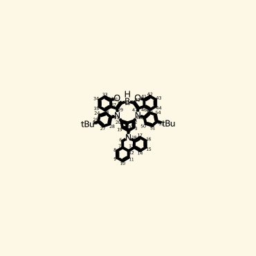 Cc1c2cc(N3CC4C=CC=CC4c4ccccc43)cc1N(c1ccc(C(C)(C)C)cc1)c1c(oc3ccccc13)Bc1oc3ccccc3c1N2c1ccc(C(C)(C)C)cc1